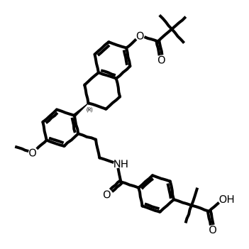 COc1ccc([C@@H]2CCc3cc(OC(=O)C(C)(C)C)ccc3C2)c(CCNC(=O)c2ccc(C(C)(C)C(=O)O)cc2)c1